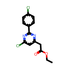 CCOC(=O)Cc1cc(Cl)nc(-c2ccc(Cl)cc2)n1